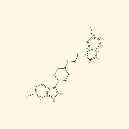 Fc1ccc2c(C3CCN(CCOn4nnc5ccc(Cl)cc54)CC3)noc2c1